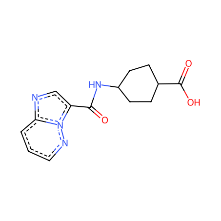 O=C(NC1CCC(C(=O)O)CC1)c1cnc2cccnn12